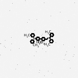 Cc1cccc([C@@H](CCc2ccc(-c3ccc(N(c4cccc(C)c4)c4cccc(C)c4)cc3C)c(C)c2)C2=CC(C)CC=C2)c1